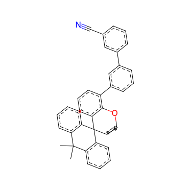 CC1(C)c2ccccc2C2(c3ccccc3Oc3c(-c4cccc(-c5cccc(C#N)c5)c4)cccc32)c2ccccc21